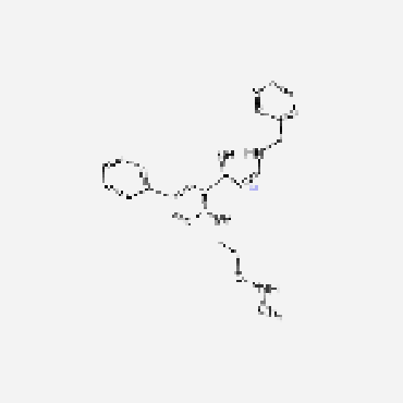 CNSCCNc1ccc(-c2ccccc2)cc1C(=N)/C=C\NCc1cccnc1